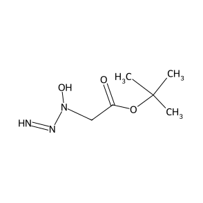 CC(C)(C)OC(=O)CN(O)N=N